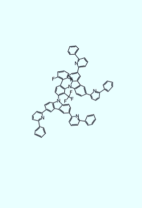 Fc1cccc(F)c1-c1ccc(-n2c3ccc(-c4cccc(-c5ccccc5)n4)cc3c3cc(-c4cccc(-c5ccccc5)n4)ccc32)c(C(F)(F)F)c1-n1c2ccc(-c3cccc(-c4ccccc4)n3)cc2c2cc(-c3cccc(-c4ccccc4)n3)ccc21